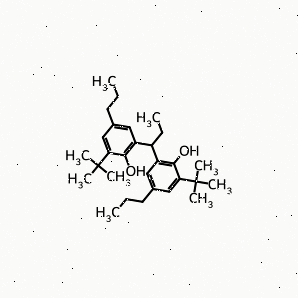 CCCc1cc(C(CC)c2cc(CCC)cc(C(C)(C)C)c2O)c(O)c(C(C)(C)C)c1